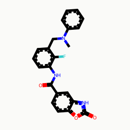 CN(Cc1cccc(NC(=O)c2ccc3oc(=O)[nH]c3c2)c1F)c1ccccc1